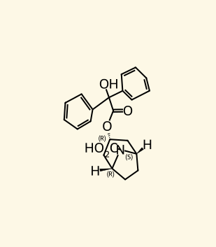 O=C(O)N1[C@@H]2CC[C@H]1C[C@@H](OC(=O)C(O)(c1ccccc1)c1ccccc1)C2